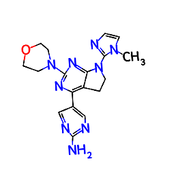 Cn1ccnc1N1CCc2c(-c3cnc(N)nc3)nc(N3CCOCC3)nc21